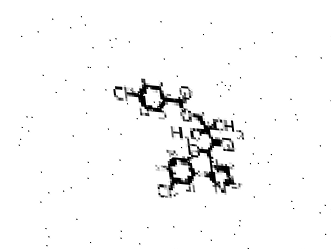 CC(C)(COC(=O)c1ccc(Cl)cc1)C(=O)C(Oc1ccc(Cl)cc1)n1ccnc1